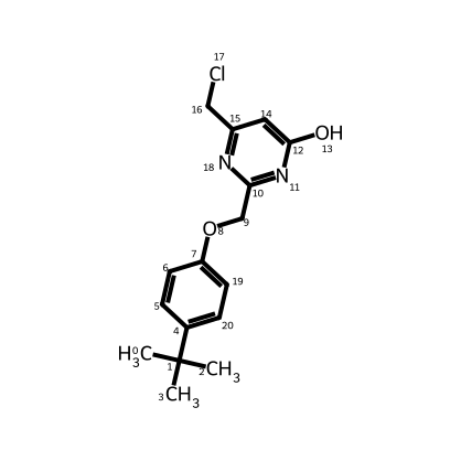 CC(C)(C)c1ccc(OCc2nc(O)cc(CCl)n2)cc1